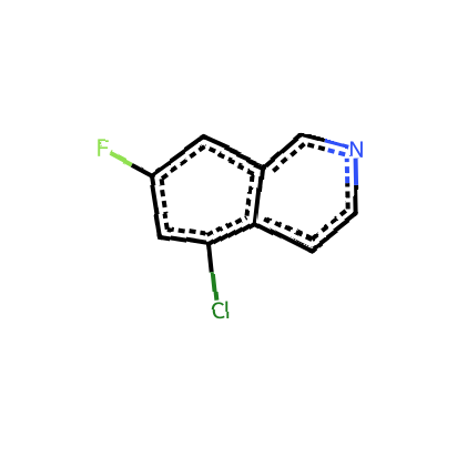 Fc1cc(Cl)c2ccncc2c1